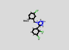 COc1ccc(Cl)cc1Cn1nnnc1-c1cccc(Cl)c1Cl